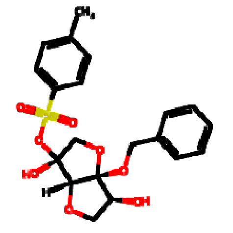 Cc1ccc(S(=O)(=O)O[C@]2(O)CO[C@]3(OCc4ccccc4)[C@@H](O)CO[C@@H]32)cc1